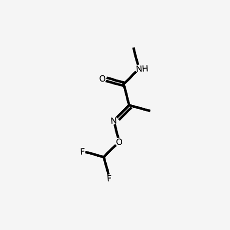 CNC(=O)/C(C)=N/OC(F)F